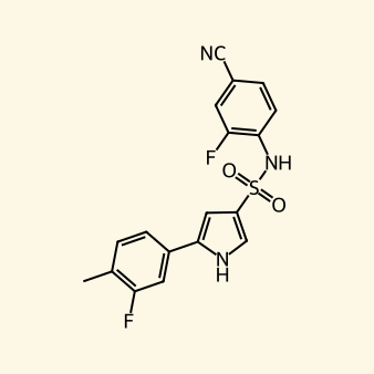 Cc1ccc(-c2cc(S(=O)(=O)Nc3ccc(C#N)cc3F)c[nH]2)cc1F